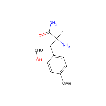 COc1ccc(CC(C)(N)C(N)=O)cc1.O=CO